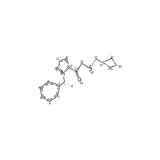 C[C@H](c1ccccc1)n1nccc1C(=O)CSCC1CCC1